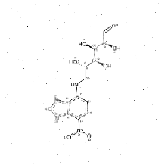 O=C[C@@H](O)[C@H](O)[C@@H](O)[C@@H](O)CNc1ccc([N+](=O)[O-])c2nonc12